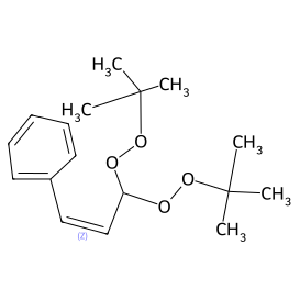 CC(C)(C)OOC(/C=C\c1ccccc1)OOC(C)(C)C